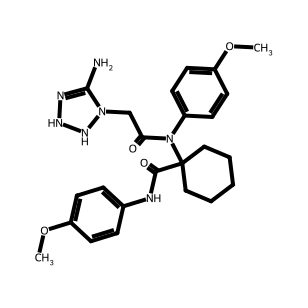 COc1ccc(NC(=O)C2(N(C(=O)CN3NNN=C3N)c3ccc(OC)cc3)CCCCC2)cc1